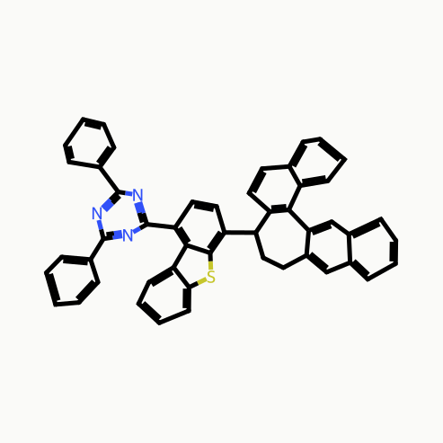 c1ccc(-c2nc(-c3ccccc3)nc(-c3ccc(C4CCc5cc6ccccc6cc5-c5c4ccc4ccccc54)c4sc5ccccc5c34)n2)cc1